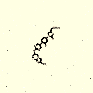 CC(=O)NCC1CN(c2ccc(-c3cnc(OC4COc5nc([N+](=O)[O-])cn5C4)nc3)c(F)c2)C(=O)O1